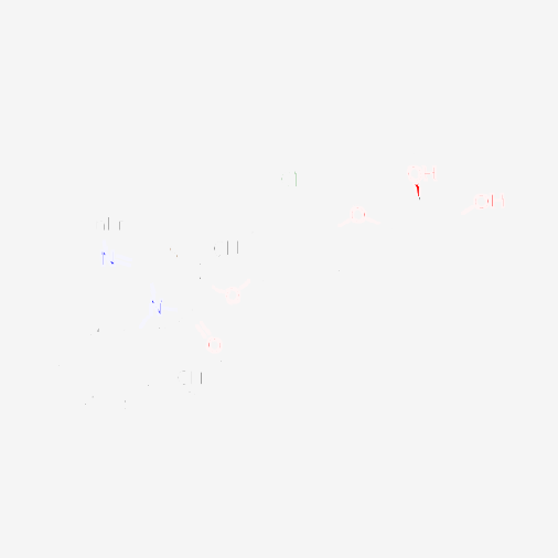 CCC/N=C1\SC(C)(Oc2ccc(OC[C@@H](O)CO)c(Cl)c2)C(=O)N1c1ccccc1C